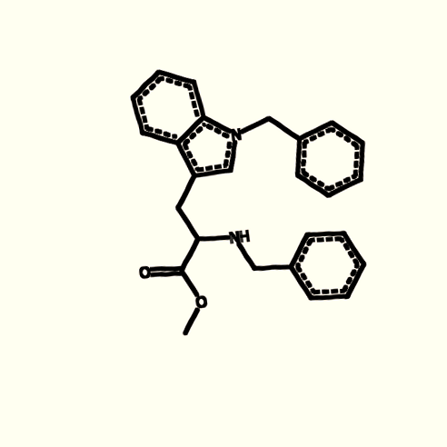 COC(=O)C(Cc1cn(Cc2ccccc2)c2ccccc12)NCc1ccccc1